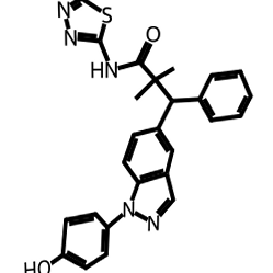 CC(C)(C(=O)Nc1nncs1)C(c1ccccc1)c1ccc2c(cnn2-c2ccc(O)cc2)c1